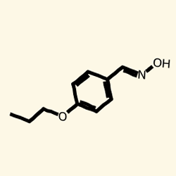 CCCOc1ccc(C=NO)cc1